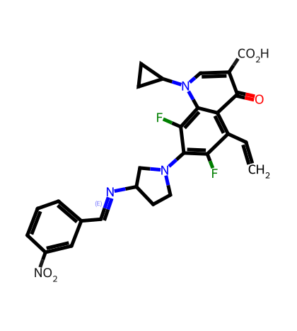 C=Cc1c(F)c(N2CCC(/N=C/c3cccc([N+](=O)[O-])c3)C2)c(F)c2c1c(=O)c(C(=O)O)cn2C1CC1